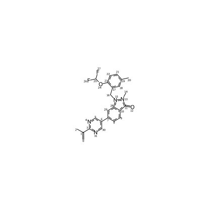 C=C(C)c1ncc(-c2ccc3c(=O)n(C)n(Cc4cc(C)ccc4OC(F)F)c3c2)cn1